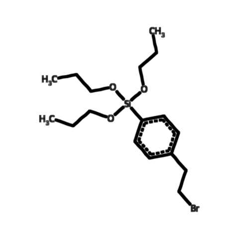 CCCO[Si](OCCC)(OCCC)c1ccc(CCBr)cc1